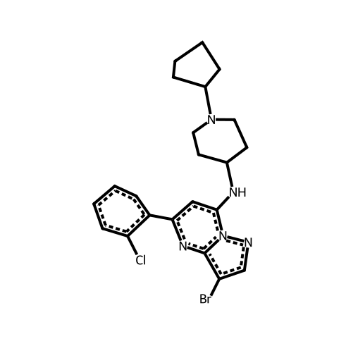 Clc1ccccc1-c1cc(NC2CCN(C3CCCC3)CC2)n2ncc(Br)c2n1